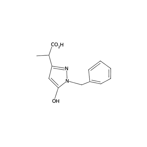 CC(C(=O)O)c1cc(O)n(Cc2ccccc2)n1